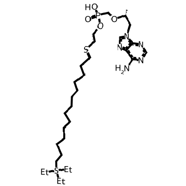 CCS(CC)(CC)CCCCCCCCCCCCCCSCCOP(=O)(O)CO[C@H](C)Cn1cnc2c(N)ncnc21